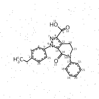 CCc1ccc(-n2nc(C(=O)O)c3c2C(=O)N(c2ccccc2)CC3)cc1